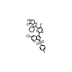 Cc1ccc(S(=O)(=O)n2cc(-c3ncc(F)c(NC4([C@@H]5CCNC5=O)CCCCC4)n3)c3cc(Cl)cnc32)cc1